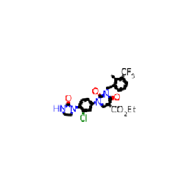 CCOC(=O)c1cn(-c2ccc(N3CCNC3=O)c(Cl)c2)c(=O)n(Cc2cccc(C(F)(F)F)c2C)c1=O